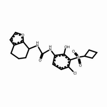 O=C(Nc1ccc(Cl)c(S(=O)(=O)C2CCC2)c1O)NC1CCCc2ccoc21